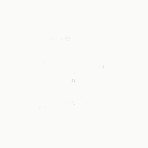 COC(=O)c1ccc(-c2cccc(-c3c(-c4ccc(C)cc4C#N)c4cc(F)ccc4n3Sc3ccc(C)cc3)c2)c(Cl)c1